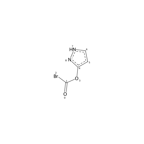 O=C(Br)Oc1cc[nH]n1